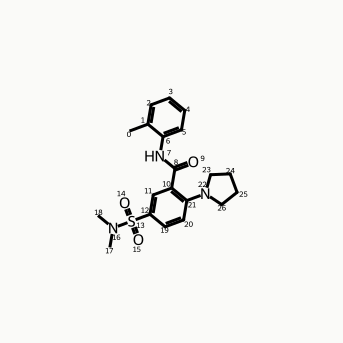 Cc1ccccc1NC(=O)c1cc(S(=O)(=O)N(C)C)ccc1N1CCCC1